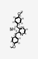 COc1ccc(Cc2nccnc2Cc2ccc(OC)cc2)cc1.N